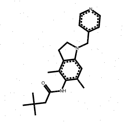 Cc1cc2c(c(C)c1NC(=O)CC(C)(C)C)CCN2Cc1ccncc1